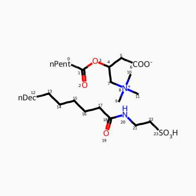 CCCCCC(=O)OC(CC(=O)[O-])C[N+](C)(C)C.CCCCCCCCCCCCCCCC(=O)NCCS(=O)(=O)O